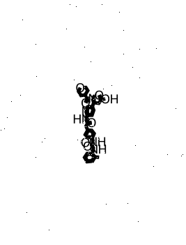 COc1cc(CC(=O)Nc2ccc(C(CC(=O)O)N(C)C(=O)C3CCOCC3)cn2)ccc1NC(=O)Nc1ccccc1C